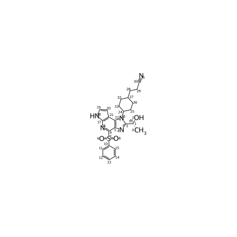 C[C@@H](O)c1nc2c(S(=O)(=O)c3ccccc3)nc3[nH]ccc3c2n1C1CCC(CCC#N)CC1